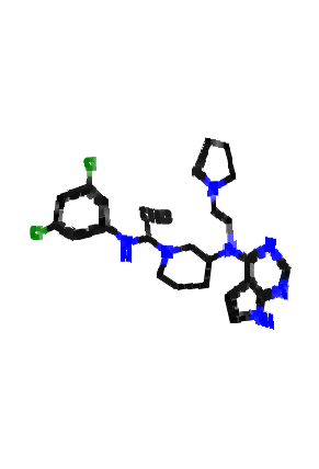 O=CC(Nc1cc(Cl)cc(Cl)c1)N1CCCC(N(CCN2CCCC2)c2ncnc3[nH]ccc23)C1